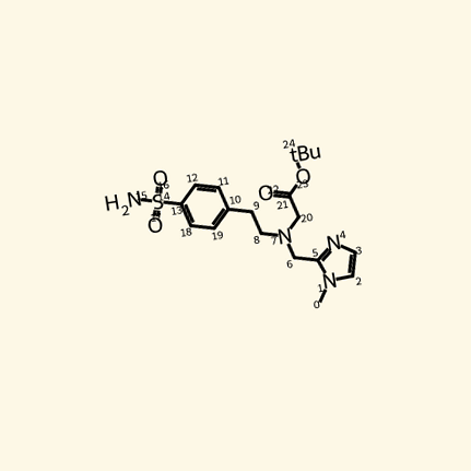 Cn1ccnc1CN(CCc1ccc(S(N)(=O)=O)cc1)CC(=O)OC(C)(C)C